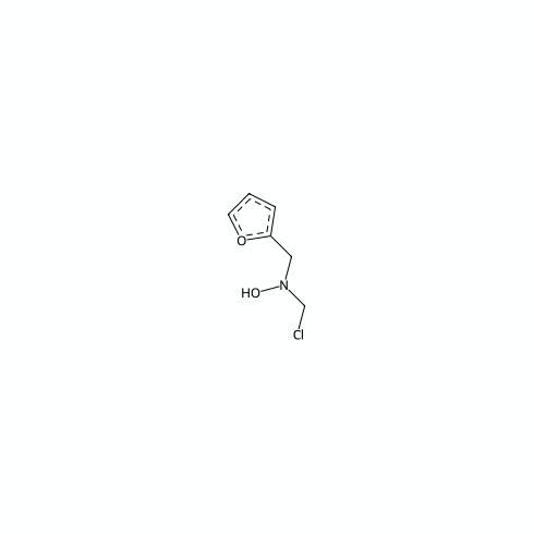 ON(CCl)Cc1ccco1